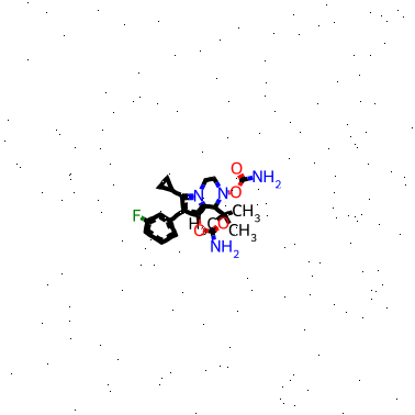 CC(C)(C)C1c2c(OC(N)=O)c(-c3cccc(F)c3)c(C3CC3)n2CCN1OC(N)=O